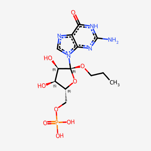 CCCO[C@@]1(n2cnc3c(=O)[nH]c(N)nc32)O[C@H](COP(=O)(O)O)[C@@H](O)[C@H]1O